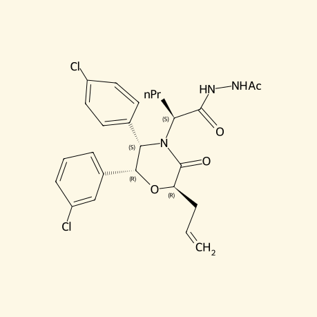 C=CC[C@H]1O[C@H](c2cccc(Cl)c2)[C@H](c2ccc(Cl)cc2)N([C@@H](CCC)C(=O)NNC(C)=O)C1=O